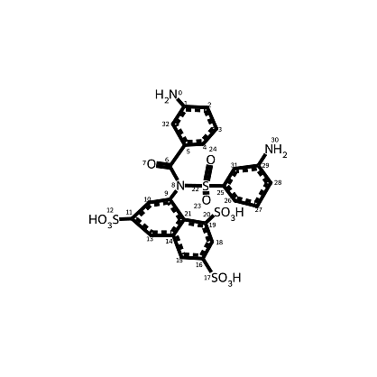 Nc1cccc(C(=O)N(c2cc(S(=O)(=O)O)cc3cc(S(=O)(=O)O)cc(S(=O)(=O)O)c23)S(=O)(=O)c2cccc(N)c2)c1